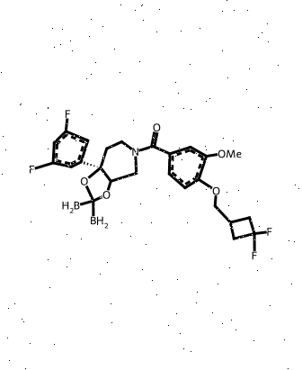 BC1(B)OC2CN(C(=O)c3ccc(OCC4CC(F)(F)C4)c(OC)c3)CC[C@]2(c2cc(F)cc(F)c2)O1